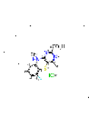 CCNc1nc(C(=O)O)nc(C)c1Sc1ccccc1F.Cl